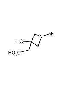 CC(C)N1CC(O)(CC(=O)O)C1